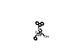 O=C(NCc1ccccc1)c1nn(CCO)c2c1CN(Cc1cc3ccccc3c3ccccc13)CC2